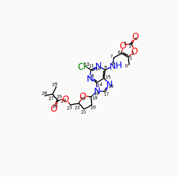 Cc1oc(=O)oc1CNc1nc(Cl)nc2c1ncn2C1CCC(COC(=O)C(C)C)O1